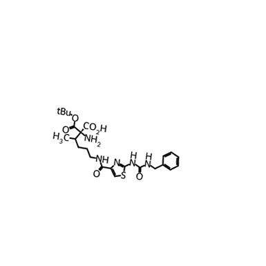 CC(CCCNC(=O)c1csc(NC(=O)NCc2ccccc2)n1)[C@](N)(C(=O)O)C(=O)OC(C)(C)C